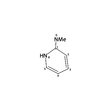 CN[C]1C=CC=CN1